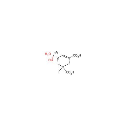 CC1(C(=O)O)C=CC=C(C(=O)O)C1.CCCO.O